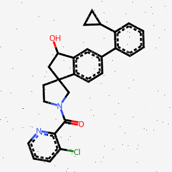 O=C(c1ncccc1Cl)N1CCC2(CC(O)c3cc(-c4ccccc4C4CC4)ccc32)C1